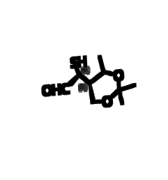 CC1OC(C)(C)OC[C@H]1[C@H](S)C=O